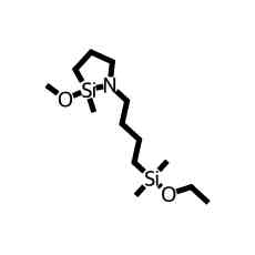 CCO[Si](C)(C)CCCCN1CCC[Si]1(C)OC